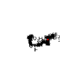 Cc1cc(NCCCCCC(=O)N(C)CCN2CCC(N(C(=O)O)c3ccccc3-c3ccccc3)CC2)ccc1C(=O)N(C)CCCN(C)C(=O)CO[C@H]1Cc2ccccc2C12CCN(CC[C@@]1(c3ccc(F)cc3)CN(C(=O)c3cc(C(F)(F)F)cc(C(F)(F)F)c3)CO1)CC2